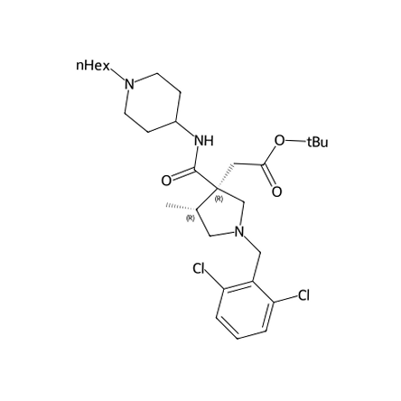 CCCCCCN1CCC(NC(=O)[C@@]2(CC(=O)OC(C)(C)C)CN(Cc3c(Cl)cccc3Cl)C[C@@H]2C)CC1